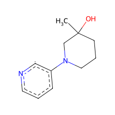 CC1(O)CCCN(c2[c]nccc2)C1